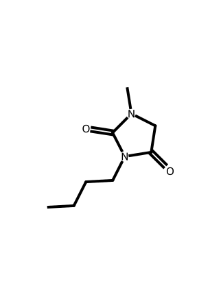 CCCCN1C(=O)CN(C)C1=O